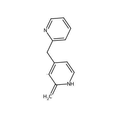 C=C1[C]=C(Cc2ccccn2)C=CN1